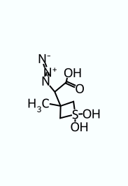 CC1(C(N=[N+]=[N-])C(=O)O)CS(O)(O)C1